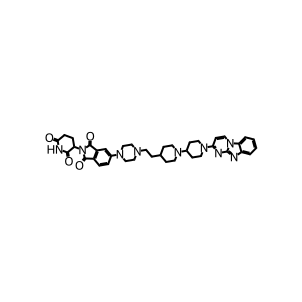 O=C1CCC(N2C(=O)c3ccc(N4CCN(CCC5CCN(C6CCN(c7ccn8c(n7)nc7ccccc78)CC6)CC5)CC4)cc3C2=O)C(=O)N1